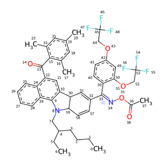 CCCCC(CC)CN1c2c(cc(C(=O)c3c(C)cc(C)cc3C)c3ccccc23)C2C=C(/C(=N/OC(C)=O)c3ccc(OCC(F)(F)F)cc3OCC(F)(F)F)C=CC21